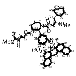 CN[C@H](CNC(=O)N1CCC[C@@H](COCCNC(=O)OC)[C@@H]1c1cccc(Cl)c1)C[C@H]1CCCOC1.O=C(O)c1cc2ccccc2c(Cc2c(O)c(C(=O)O)cc3ccccc23)c1O